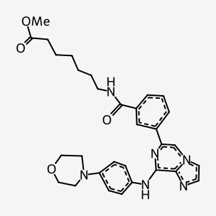 COC(=O)CCCCCCNC(=O)c1cccc(-c2cn3ccnc3c(Nc3ccc(N4CCOCC4)cc3)n2)c1